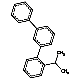 CC(C)c1ccccc1-c1cccc(-c2ccccc2)c1